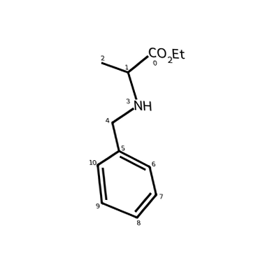 CCOC(=O)C(C)NCc1ccccc1